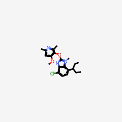 CCC(CC)c1ccc(Cl)c2nc(Oc3c(OC)cc(C)nc3C)n(C)c12